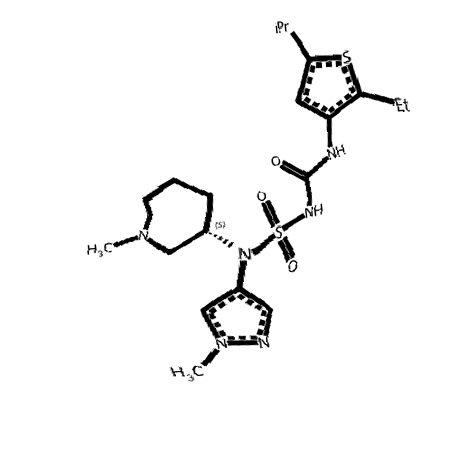 CCc1sc(C(C)C)cc1NC(=O)NS(=O)(=O)N(c1cnn(C)c1)[C@H]1CCCN(C)C1